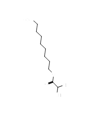 CCCCCCCCCCCCCCCCOC(=O)C(C)Cl